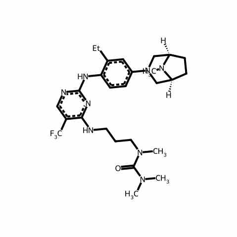 CCc1cc(N2C[C@H]3CC[C@@H](C2)N3C)ccc1Nc1ncc(C(F)(F)F)c(NCCCN(C)C(=O)N(C)C)n1